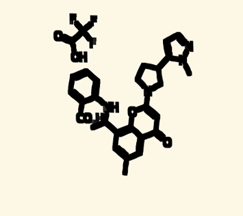 Cc1cc(C(C)Nc2ccccc2C(=O)O)c2oc(N3CCC(c4ccnn4C)C3)cc(=O)c2c1.O=C(O)C(F)(F)F